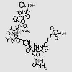 CC[C@H](C)[C@@H]([C@@H](CC(=O)N1CCC[C@H]1[C@H](OC)C(C)C(=O)N[C@H](C)C(O)c1ccccc1)OC)N(C)C(=O)[C@@H](NC(=O)[C@H](C(C)C)N(C)C(=O)OCc1ccc(NC(=O)[C@H](CCCNC(N)=O)NC(=O)C(NC(=O)CCCCCN2C(=O)CC(S)C2=O)C(C)C)cc1)C(C)C